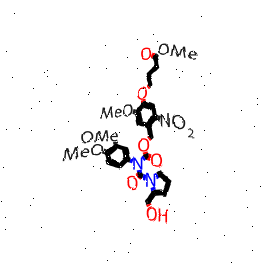 COC(=O)CCCOc1cc([N+](=O)[O-])c(COC(=O)N(C(=O)N2CCCC2CO)c2ccc(OC)c(OC)c2)cc1OC